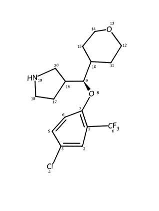 FC(F)(F)c1cc(Cl)ccc1O[C@H](C1CCOCC1)C1CCNC1